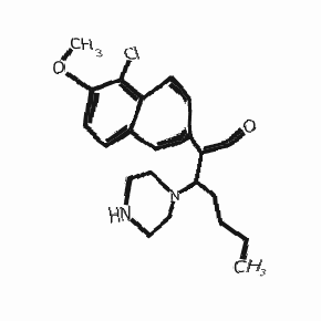 CCCCC(C(=C=O)c1ccc2c(Cl)c(OC)ccc2c1)N1CCNCC1